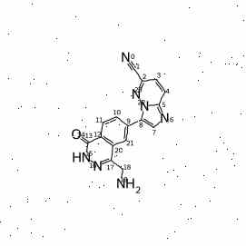 N#Cc1ccc2ncc(-c3ccc4c(=O)[nH]nc(CN)c4c3)n2n1